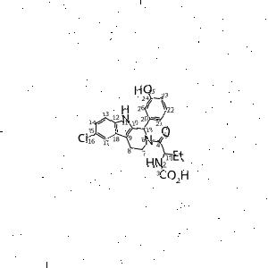 CCC(NC(=O)O)C(=O)N1CCc2c([nH]c3ccc(Cl)cc23)C1c1cccc(O)c1